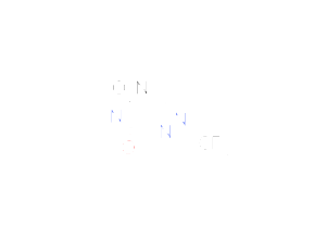 CN(C)C(=O)c1nn(CC(F)(F)F)cc1[N+](=O)[O-]